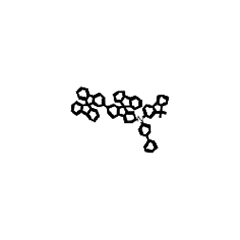 CC1(C)c2ccccc2-c2ccc(N(c3ccc(-c4ccccc4)cc3)c3ccc4c(c3)C3(c5ccccc5-c5ccccc53)c3cc(-c5ccc6c(c5)C5(c7ccccc7-c7ccccc75)c5ccccc5-6)ccc3-4)cc21